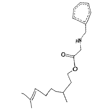 CC(C)=CCCC(C)CCOC(=O)CNCc1ccccc1